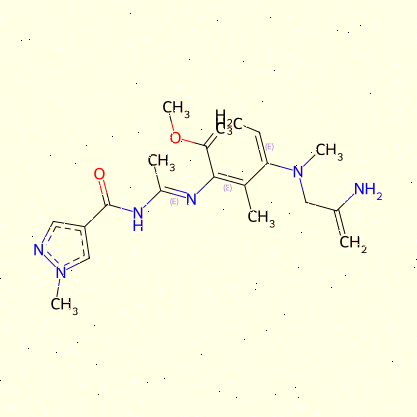 C=C(N)CN(C)C(=C/C)/C(C)=C(/N=C(\C)NC(=O)c1cnn(C)c1)C(=C)OC